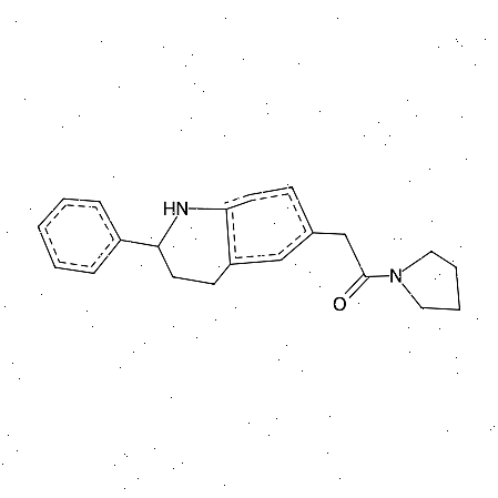 O=C(Cc1ccc2c(c1)CCC(c1ccccc1)N2)N1CCCC1